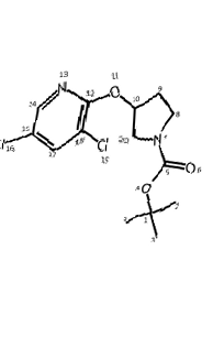 CC(C)(C)OC(=O)N1CCC(Oc2ncc(Cl)cc2Cl)C1